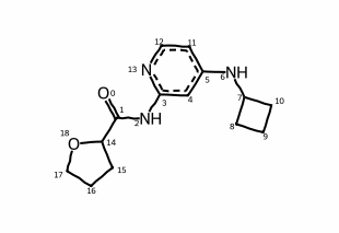 O=C(Nc1cc(NC2CCC2)ccn1)C1CCCO1